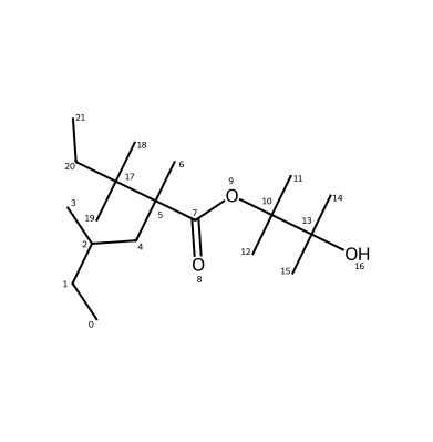 CCC(C)CC(C)(C(=O)OC(C)(C)C(C)(C)O)C(C)(C)CC